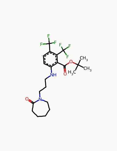 CC(C)(C)OC(=O)c1c(NCCCN2CCCCCC2=O)c[c]c(C(F)(F)F)c1C(F)(F)F